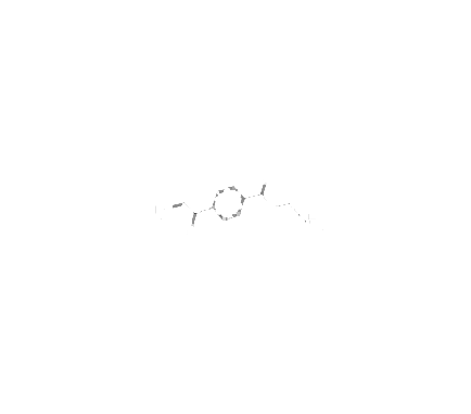 C=CC(=O)c1ccc(C(=O)OCN)cc1